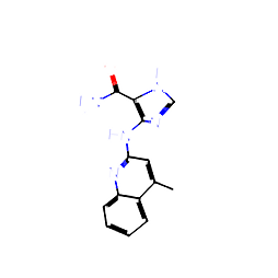 Cc1cc(Nc2nc[nH]c2C(N)=O)nc2ccccc12